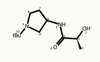 C[C@H](O)C(=O)NC1CCN(C(C)(C)C)C1